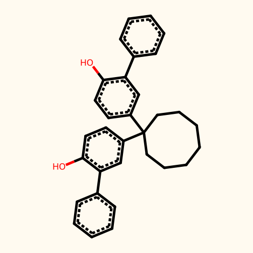 Oc1ccc(C2(c3ccc(O)c(-c4ccccc4)c3)CCCCCCC2)cc1-c1ccccc1